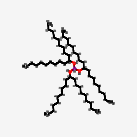 CCCCCCCCCC(CCCCCCCCC)OP(OC(CCCCCCCCC)CCCCCCCCC)OC(CCCCCCCCC)CCCCCCCCC